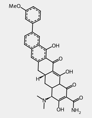 COc1cccc(-c2ccc3cc4c(c(O)c3c2)C(=O)C2=C(O)C3C(=O)C(C(N)=O)=C(O)[C@@H](N(C)C)C3C[C@@H]2C4)c1